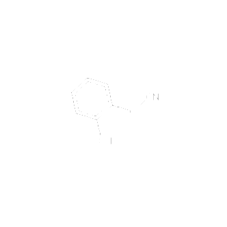 Cc1c[c]ccc1OC#N